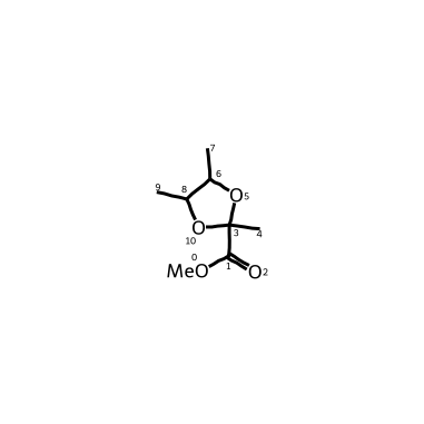 COC(=O)C1(C)OC(C)C(C)O1